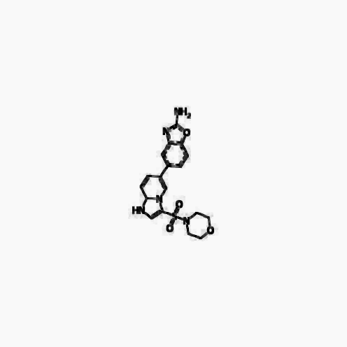 Nc1nc2cc(C3=CN4C(S(=O)(=O)N5CCOCC5)=CNC4C=C3)ccc2o1